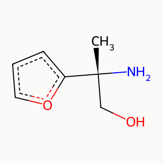 C[C@@](N)(CO)c1ccco1